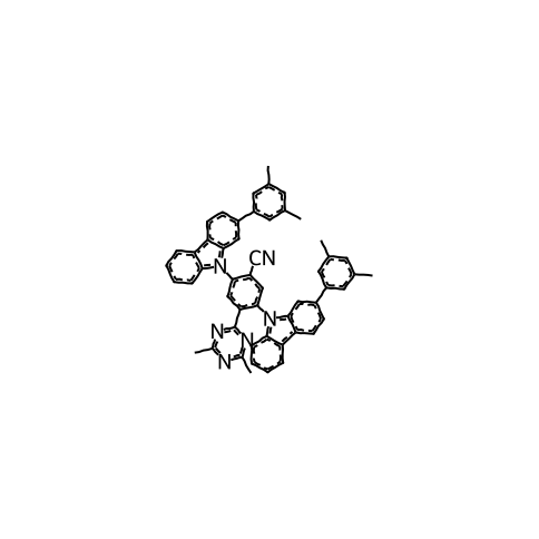 Cc1cc(C)cc(-c2ccc3c4ccccc4n(-c4cc(-c5nc(C)nc(C)n5)c(-n5c6ccccc6c6ccc(-c7cc(C)cc(C)c7)cc65)cc4C#N)c3c2)c1